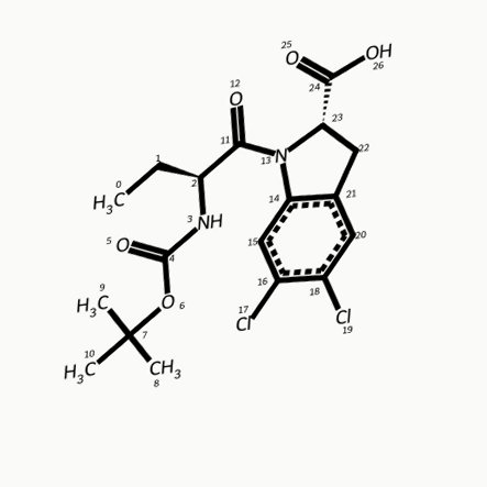 CC[C@H](NC(=O)OC(C)(C)C)C(=O)N1c2cc(Cl)c(Cl)cc2C[C@H]1C(=O)O